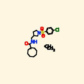 O=C(NCC1CCN(S(=O)(=O)c2ccc(Cl)cc2)C1)[C]1CCCCCCC1.[CH2].[CH2]